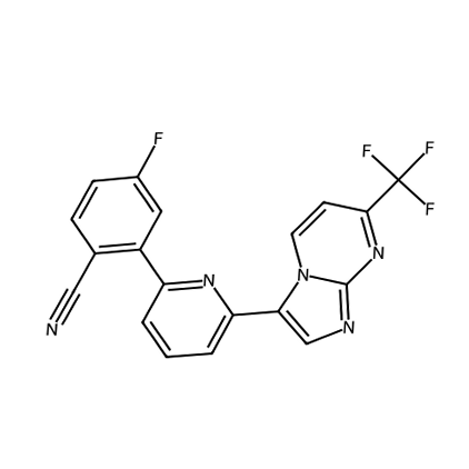 N#Cc1ccc(F)cc1-c1cccc(-c2cnc3nc(C(F)(F)F)ccn23)n1